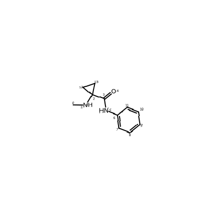 CNC1(C(=O)Nc2ccccc2)CC1